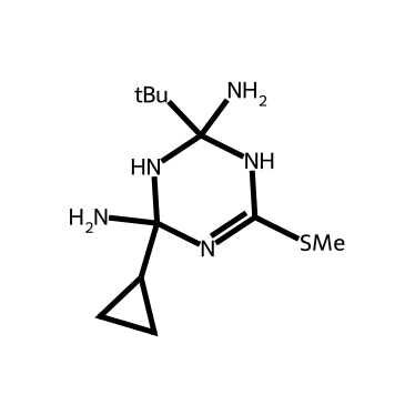 CSC1=NC(N)(C2CC2)NC(N)(C(C)(C)C)N1